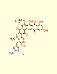 COc1c(OC)c2c(=O)c3cc(C)n(C(Cc4cn(C)c(N)n4)C(=O)O)c(=O)c3c(=O)c2c2cc3c(=O)c4cc(O)cc(O)c4c(=O)c3c(O)c12